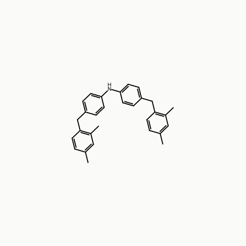 Cc1ccc(Cc2ccc(Nc3ccc(Cc4ccc(C)cc4C)cc3)cc2)c(C)c1